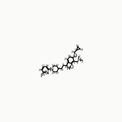 CN(C)CC1=c2onc(CCC3CCN(c4cccc(F)n4)CC3)c2=CCC1OCC1CC1